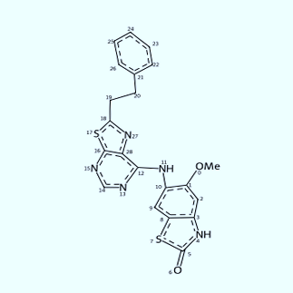 COc1cc2[nH]c(=O)sc2cc1Nc1ncnc2sc(CCc3ccccc3)nc12